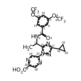 CC(NC(=O)c1cc(OC(F)(F)F)cc(OC(F)(F)F)c1)c1nc(C2CC2)nn1-c1cnc(C(=O)O)cn1